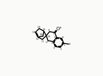 Cc1ccc2c(c1)C(=O)CC1(CC3=CCC1C3)C2